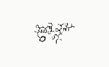 CC[C@H](C)[C@@H]([C@@H](CC(=O)N1CCC[C@H]1[C@H](OC)[C@@H](C)C(=O)N[C@H](C)Cc1ccccc1)OC)N(C)C(=O)[C@@H](NC(=O)CC(C)C)C(C)C